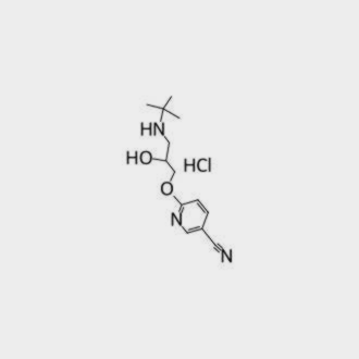 CC(C)(C)NCC(O)COc1ccc(C#N)cn1.Cl